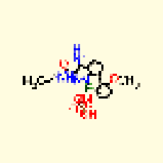 CCCNC(=O)c1nnc2c(-c3c(F)cccc3OC)cccc2c1N.O=S(=O)(O)O